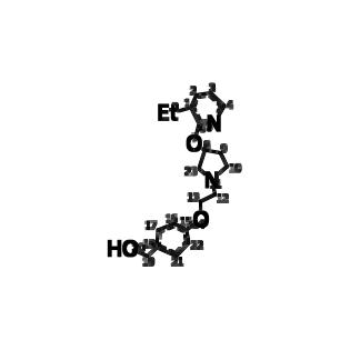 CCc1cccnc1OC1CCN(CCOc2ccc(CO)cc2)C1